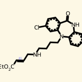 CCOC(=O)/C=C/CNCCCCN1c2ccccc2NC(=O)c2ccc(Cl)cc21